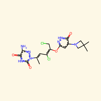 C/C(=C\C(Cl)=C(/CCl)Oc1cc(N2CC(C)(C)C2)c(=O)[nH]n1)n1nc(N)c(=O)[nH]c1=O